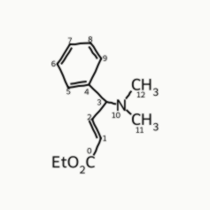 CCOC(=O)/C=C/C(c1ccccc1)N(C)C